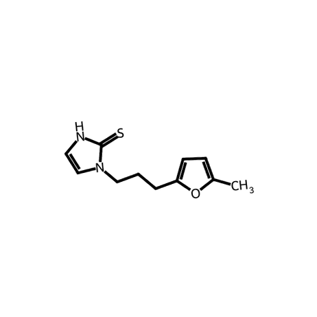 Cc1ccc(CCCn2cc[nH]c2=S)o1